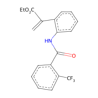 C=C(C(=O)OCC)c1ccccc1NC(=O)c1ccccc1C(F)(F)F